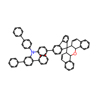 C1=CC2C(OC3c4ccccc4C=CC3C23c2ccccc2-c2cc(-c4ccc(N(c5ccc(-c6ccccc6)cc5)c5cc(-c6ccccc6)ccc5-c5ccccc5)cc4)ccc23)c2ccccc21